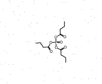 CCCC(=O)OP(=O)(OC(=O)CCC)OC(=O)CCC